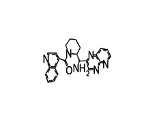 NC(c1cnc2ncccc2n1)[C@@H]1CCCCN1C(=O)c1ccnc2ccccc12